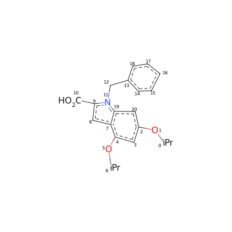 CC(C)Oc1cc(OC(C)C)c2cc(C(=O)O)n(Cc3ccccc3)c2c1